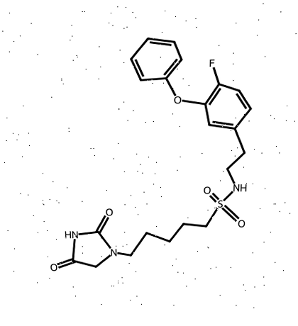 O=C1CN(CCCCCS(=O)(=O)NCCc2ccc(F)c(Oc3ccccc3)c2)C(=O)N1